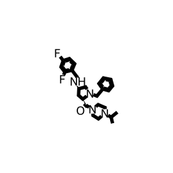 CC(C)N1CCN(C(=O)[C@@H]2C[C@H](NCc3ccc(F)cc3F)CN2Cc2ccccc2)CC1